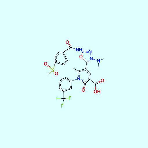 CS(=O)(=O)c1ccc(C(N)=O)cc1.Cc1c(C2OC=NN2N(C)C)cc(C(=O)O)c(=O)n1-c1cccc(C(F)(F)F)c1